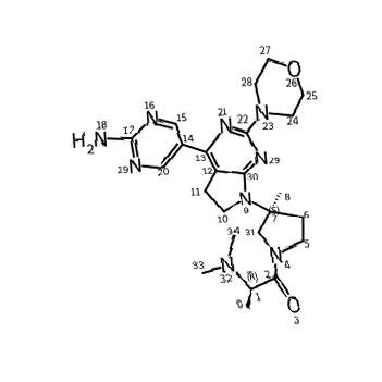 C[C@H](C(=O)N1CC[C@](C)(N2CCc3c(-c4cnc(N)nc4)nc(N4CCOCC4)nc32)C1)N(C)C